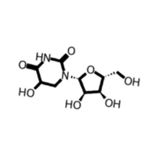 O=C1NC(=O)N([C@@H]2O[C@H](CO)[C@@H](O)[C@H]2O)CC1O